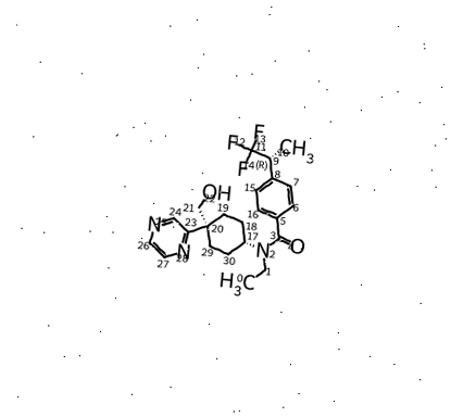 CCN(C(=O)c1ccc([C@@H](C)C(F)(F)F)cc1)[C@H]1CC[C@](CO)(c2cnccn2)CC1